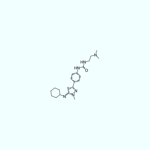 CN(C)CCNC(=O)Nc1ccc(-c2nn(C)c(=NC3CCCCC3)s2)cc1